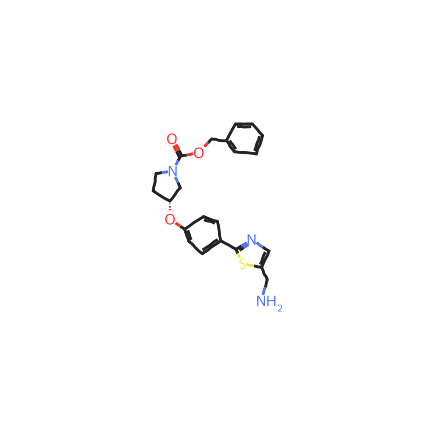 NCc1cnc(-c2ccc(O[C@@H]3CCN(C(=O)OCc4ccccc4)C3)cc2)s1